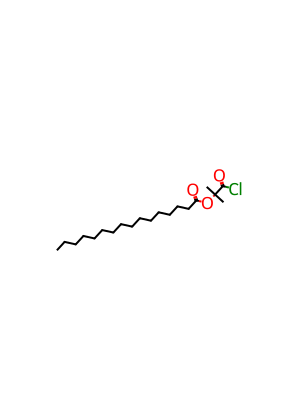 CCCCCCCCCCCCCCCC(=O)OC(C)(C)C(=O)Cl